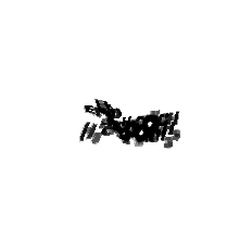 CCC(CC)C(=O)CC[C@@H](C)[C@H]1CC=C2C3=C(CC[C@@]21C)[C@@]1(C)CC[C@H](O)C(C)(C)[C@@H]1CC3